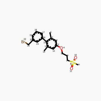 Cc1cc(OCCCS(C)(=O)=O)cc(C)c1-c1cccc(CBr)c1